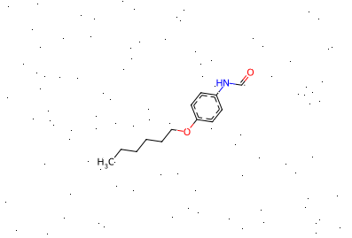 CCCCCCOc1ccc(N[C]=O)cc1